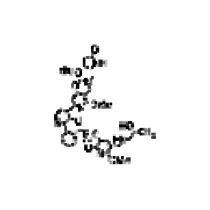 COc1nc(-c2ccnc(-c3cccc4c3CC[C@@H]4Oc3nc(OC)c(CNCC(C)O)cc3C(F)(F)F)c2Cl)ccc1CN(C[C@@H]1CCC(=O)N1)C(=O)OC(C)(C)C